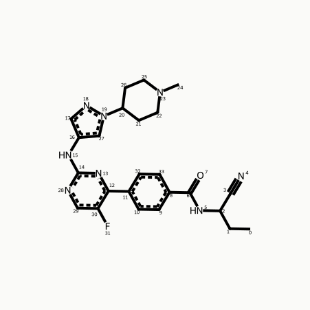 CCC(C#N)NC(=O)c1ccc(-c2nc(Nc3cnn(C4CCN(C)CC4)c3)ncc2F)cc1